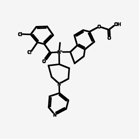 C[N+](C(=O)c1cccc(Cl)c1Cl)(C1CCN(c2ccncc2)CC1)C1CCc2cc(OC(=O)O)ccc21